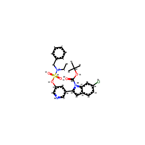 CCN(Cc1ccccc1)S(=O)(=O)Oc1cncc(-c2cc3ccc(Cl)cc3n2C(=O)OC(C)(C)C)c1